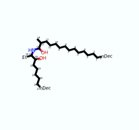 CCCCCCCCCCCCCCCCCCCCCCC(C)C(O)NC(CC)C(O)CCCCCCCCCCCCCCC